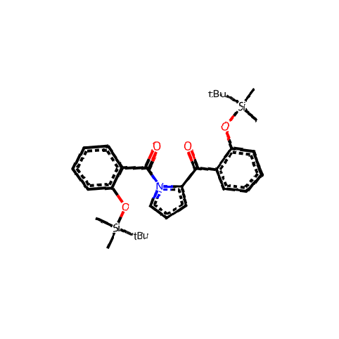 CC(C)(C)[Si](C)(C)Oc1ccccc1C(=O)c1cccn1C(=O)c1ccccc1O[Si](C)(C)C(C)(C)C